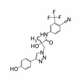 C[C@](O)(Cn1cc(-c2ccc(O)cc2)nn1)C(=O)Nc1ccc(C#N)c(C(F)(F)F)c1